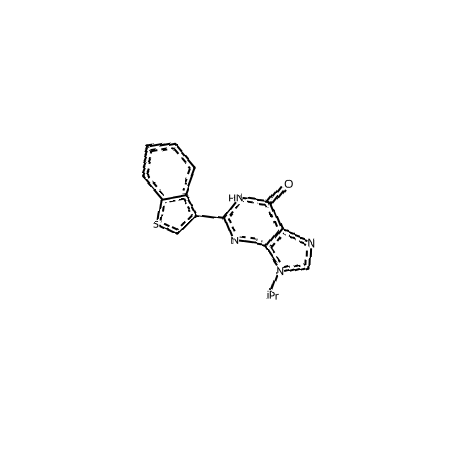 CC(C)n1cnc2c(=O)[nH]c(-c3csc4ccccc34)nc21